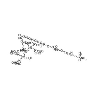 CCC(NCOC(CCCCNC(=O)CCC(C(=O)O)N(CCN(CC=O)CC=O)CCN(CC=O)CC(=O)O)N=COCCC(C(=O)O)N(CCN(CC=O)CC=O)CCN(CC=O)CC(=O)O)OC=NCOC=NCOC=NCOC=NCCOCCOCC(=O)NCCOCCOCOCNCCCCC(N)C(N)=O